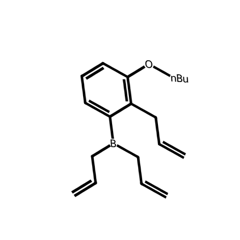 C=CCB(CC=C)c1cccc(OCCCC)c1CC=C